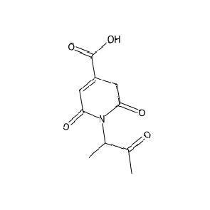 CC(=O)C(C)N1C(=O)C=C(C(=O)O)CC1=O